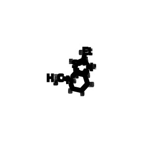 CCc1nc2c(s1)N(C)CCC2